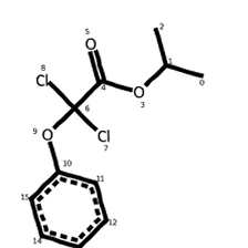 CC(C)OC(=O)C(Cl)(Cl)Oc1ccccc1